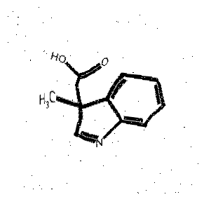 CC1(C(=O)O)C=Nc2ccccc21